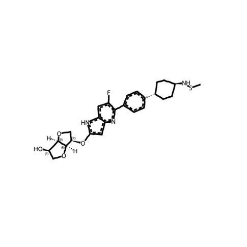 CSN[C@H]1CC[C@H](c2ccc(-c3nc4cc(O[C@@H]5CO[C@H]6[C@@H]5OC[C@H]6O)[nH]c4cc3F)cc2)CC1